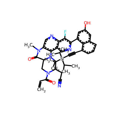 C=CC(=O)N1CC2C(=O)N(C)c3cnc4c(F)c(-c5cc(O)cc6cccc(C#C[Si](C(C)C)(C(C)C)C(C)C)c56)ncc4c3N2CC1CC#N